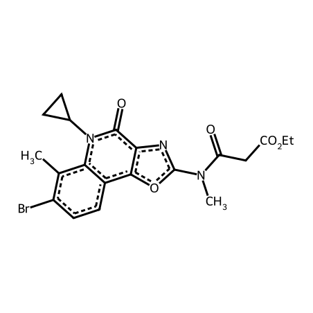 CCOC(=O)CC(=O)N(C)c1nc2c(=O)n(C3CC3)c3c(C)c(Br)ccc3c2o1